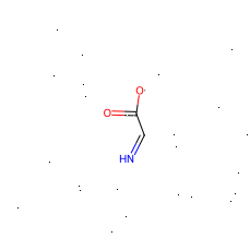 N=CC([O])=O